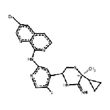 C[C@@]1(C2CC2)SCC(c2cc(Nc3nccc4cc(Br)cnc34)ncc2F)NC1=N